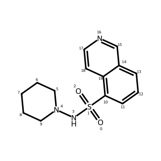 O=S(=O)(NN1CCCCC1)c1cccc2cnccc12